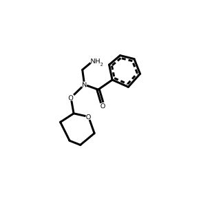 NCN(OC1CCCCO1)C(=O)c1ccccc1